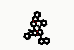 c1ccc(N(c2ccc(-c3cccc4ccccc34)cc2)c2ccccc2-c2cccc3c2sc2ccccc23)c(-c2cccc3ccccc23)c1